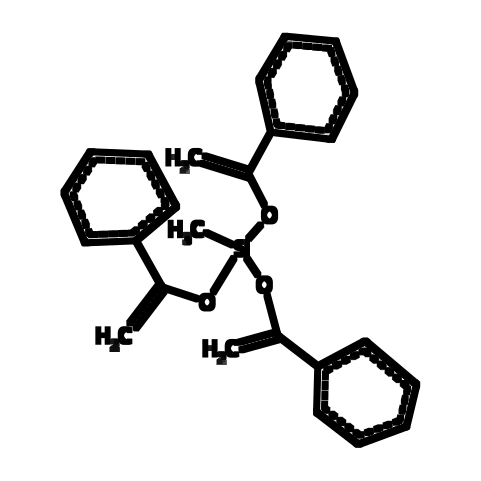 C=C(O[Si](C)(OC(=C)c1ccccc1)OC(=C)c1ccccc1)c1ccccc1